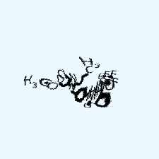 CCCCc1nc(Cl)c(CC(=O)OC)n1Cc1ccc(NC(=O)[C@@H]2CCCC[C@@H]2NS(=O)(=O)C(F)(F)F)cc1